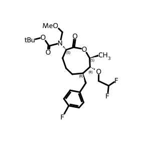 COCN(C(=O)OC(C)(C)C)[C@H]1CCC[C@H](Cc2ccc(F)cc2)[C@@H](OCC(F)F)[C@H](C)OC1=O